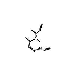 C=CN/N=C\N(C)N(C)N(C)C=C